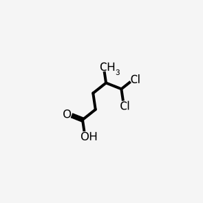 CC(CCC(=O)O)C(Cl)Cl